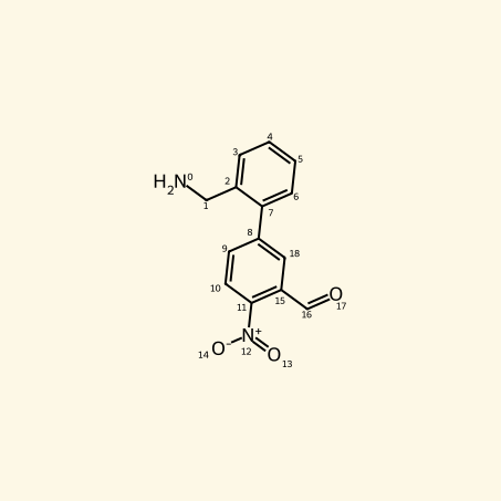 NCc1ccccc1-c1ccc([N+](=O)[O-])c(C=O)c1